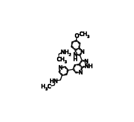 CCN.CCNCc1cncc(-c2cnc3[nH]nc(-c4nc5cc(OC)ccc5[nH]4)c3c2)c1